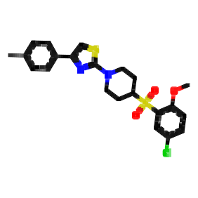 COc1ccc(Cl)cc1S(=O)(=O)C1CCN(c2nc(-c3ccc(C)cc3)cs2)CC1